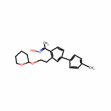 CC(=NO)c1ccc(-c2ccc(C)cc2)cc1CCOC1CCCCO1